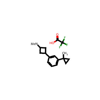 CNC1CC(c2cccc(C3(C)CC3)c2)C1.O=C(O)C(F)(F)F